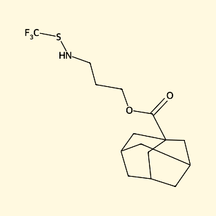 O=C(OCCCNSC(F)(F)F)C12CC3CC(CC(C3)C1)C2